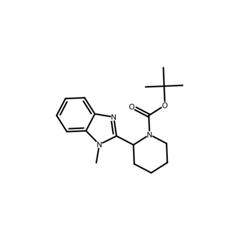 Cn1c(C2CCCCN2C(=O)OC(C)(C)C)nc2ccccc21